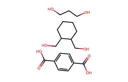 O=C(O)c1ccc(C(=O)O)cc1.OCC1CCCCC1CO.OCCCO